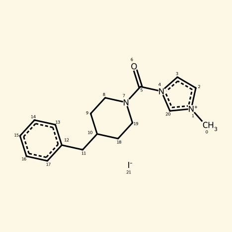 C[n+]1ccn(C(=O)N2CCC(Cc3ccccc3)CC2)c1.[I-]